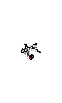 C=CCCNC(=O)C(=O)[C@@H](CCC=C)NC(=O)[C@@H]1C2C(CN1C(=O)[C@@H](NC(=O)NC13CC4CC(CC(C4)C1)C3)C1CCCCC1)C2(C)C